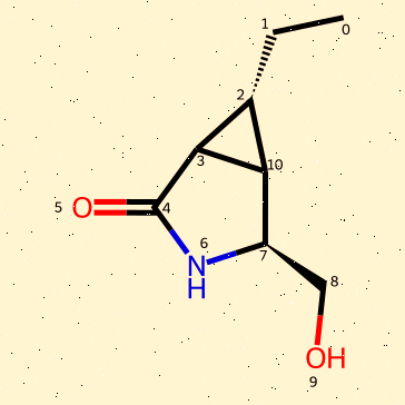 CC[C@H]1C2C(=O)N[C@H](CO)C21